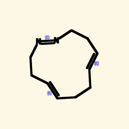 C1=C/CC/N=N/CC/C=C/CC/1